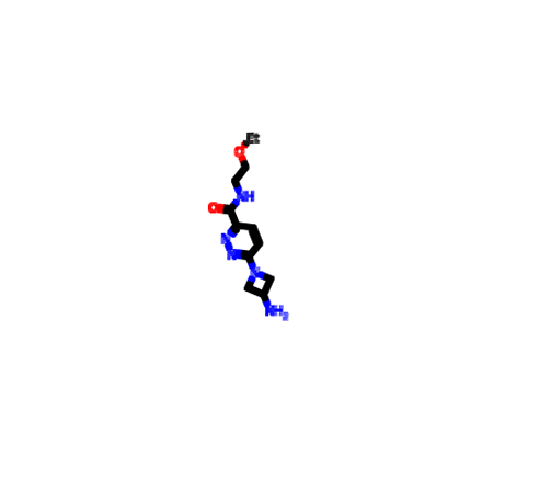 CCOCCNC(=O)c1ccc(N2CC(N)C2)nn1